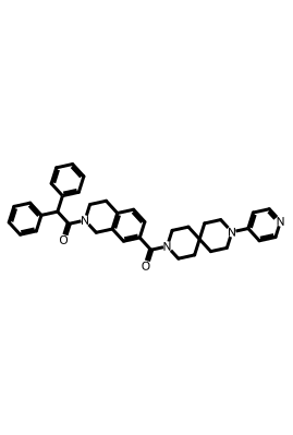 O=C(c1ccc2c(c1)CN(C(=O)C(c1ccccc1)c1ccccc1)CC2)N1CCC2(CC1)CCN(c1ccncc1)CC2